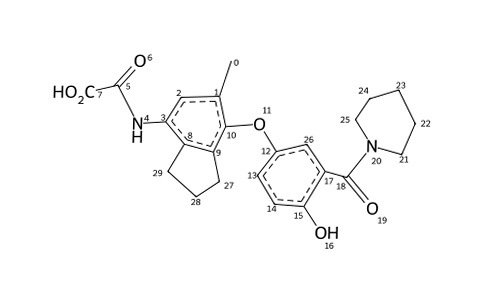 Cc1cc(NC(=O)C(=O)O)c2c(c1Oc1ccc(O)c(C(=O)N3CCCCC3)c1)CCC2